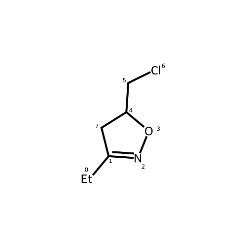 CCC1=NOC(CCl)C1